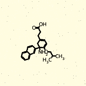 CC(C)COC1=CC=C(CCC(=O)O)CC1(N)c1ccc2ccccc2c1